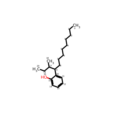 CCCCCCCCCC(c1ccccc1O)C(C)CC